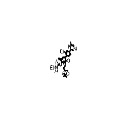 CCNc1ncc2cc(-c3ccc(-c4cncc(C)n4)cc3Cl)c(=O)n(CCC3COC(C)(C)O3)c2n1